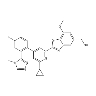 COc1cc(CO)cc2nc(-c3cc(-c4ccc(F)cc4-c4nncn4C)cc(C4CC4)n3)oc12